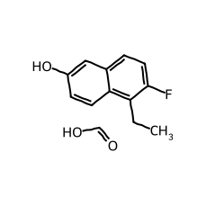 CCc1c(F)ccc2cc(O)ccc12.O=CO